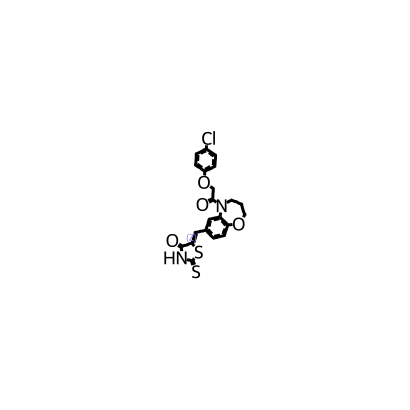 O=C1NC(=S)S/C1=C\c1ccc2c(c1)N(C(=O)COc1ccc(Cl)cc1)CCCO2